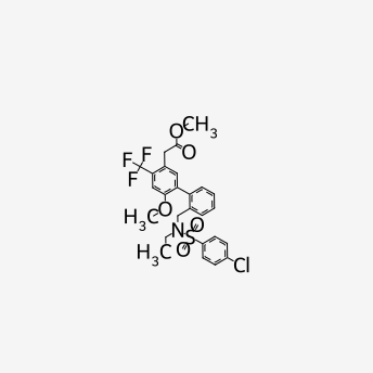 CCN(Cc1ccccc1-c1cc(CC(=O)OC)c(C(F)(F)F)cc1OC)S(=O)(=O)c1ccc(Cl)cc1